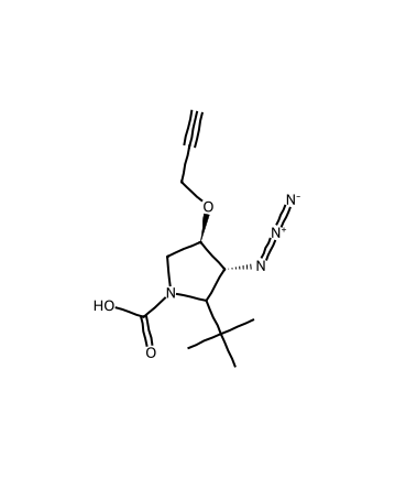 C#CCO[C@@H]1CN(C(=O)O)C(C(C)(C)C)[C@H]1N=[N+]=[N-]